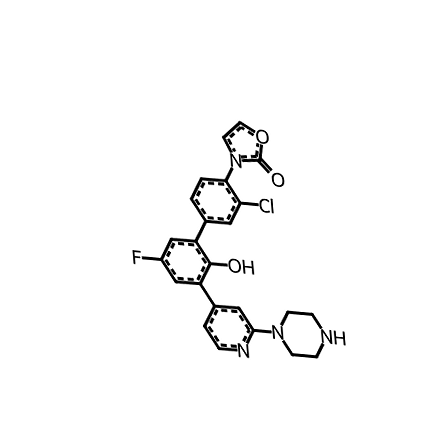 O=c1occn1-c1ccc(-c2cc(F)cc(-c3ccnc(N4CCNCC4)c3)c2O)cc1Cl